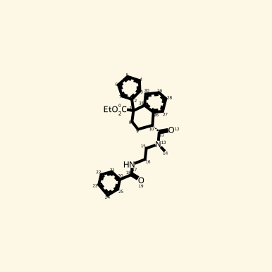 CCOC(=O)C1(c2ccccc2)CC[C@@H](C(=O)N(C)CCNC(=O)c2ccccc2)c2ccccc21